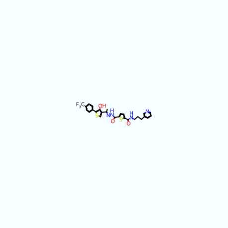 C/C(=N\NC(=O)c1ccc(C(=O)NCCCc2cccnc2)s1)c1csc(-c2ccc(C(F)(F)F)cc2)c1O